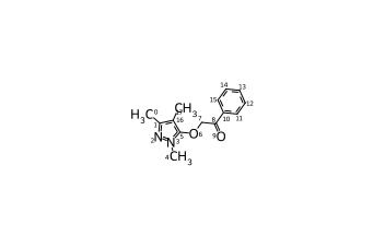 Cc1nn(C)c(OCC(=O)c2ccccc2)c1C